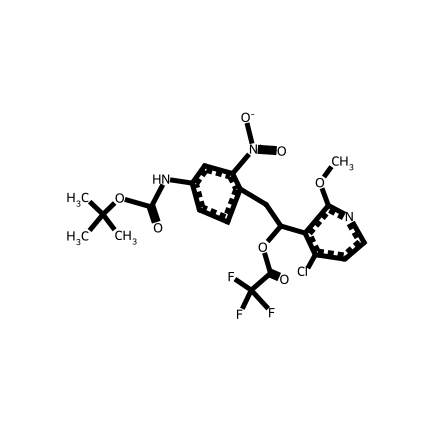 COc1nccc(Cl)c1C(Cc1ccc(NC(=O)OC(C)(C)C)cc1[N+](=O)[O-])OC(=O)C(F)(F)F